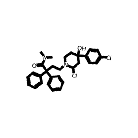 CN(C)C(=O)C(CCN1CCC(O)(c2ccc(Cl)cc2)CC1Cl)(c1ccccc1)c1ccccc1